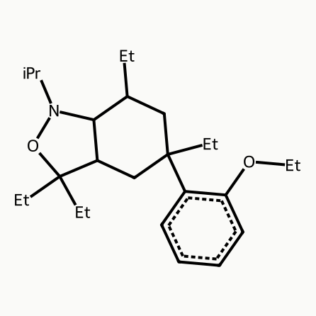 CCOc1ccccc1C1(CC)CC(CC)C2C(C1)C(CC)(CC)ON2C(C)C